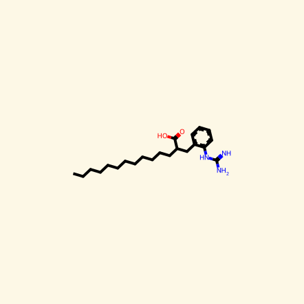 CCCCCCCCCCCCC(Cc1ccccc1NC(=N)N)C(=O)O